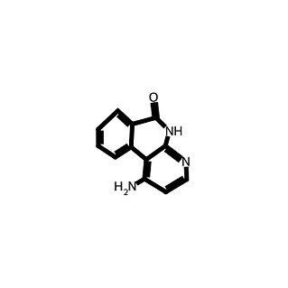 Nc1ccnc2[nH]c(=O)c3ccccc3c12